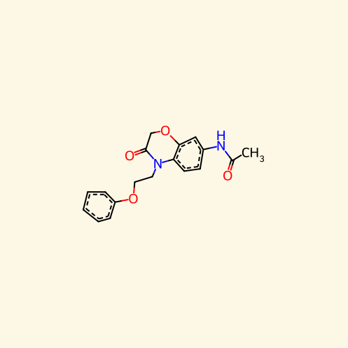 CC(=O)Nc1ccc2c(c1)OCC(=O)N2CCOc1ccccc1